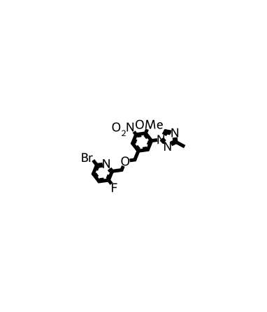 COc1c(-n2cnc(C)n2)cc(COCc2nc(Br)ccc2F)cc1[N+](=O)[O-]